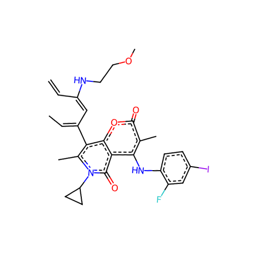 C=C/C(=C\C(=C/C)c1c(C)n(C2CC2)c(=O)c2c(Nc3ccc(I)cc3F)c(C)c(=O)oc12)NCCOC